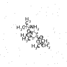 CC(C)C(N)ON1CCC(C(=O)OC(C)(C)C)CC1(C)C